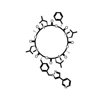 CC(C)C[C@H]1C(=O)O[C@H](Cc2ccc(Cn3cc(-c4cccnc4)cn3)cc2)C(=O)N(C)[C@@H](CC(C)C)C(=O)O[C@H](C)C(=O)N(C)[C@@H](CC(C)C)C(=O)O[C@H](Cc2ccccc2)C(=O)N(C)[C@@H](CC(C)C)C(=O)O[C@H](C)C(=O)N1C